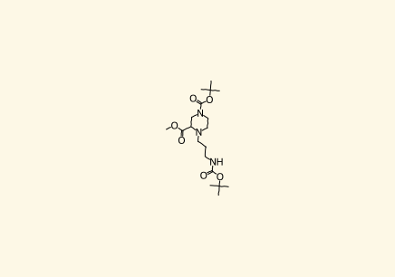 COC(=O)C1CN(C(=O)OC(C)(C)C)CCN1CCCNC(=O)OC(C)(C)C